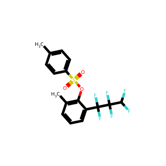 Cc1ccc(S(=O)(=O)Oc2c(C)cccc2C(F)(F)C(F)(F)C(F)F)cc1